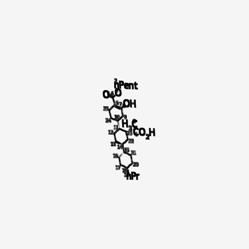 CC(=O)O.CCCCCOC(=O)C1=C(O)CC([C@H]2CC[C@H]([C@H]3CC[C@H](CCC)CC3)CC2)CC1